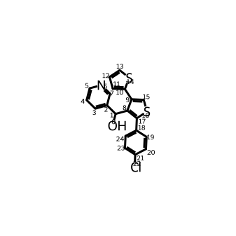 OC(c1cccnc1)c1c(-c2cccs2)csc1-c1ccc(Cl)cc1